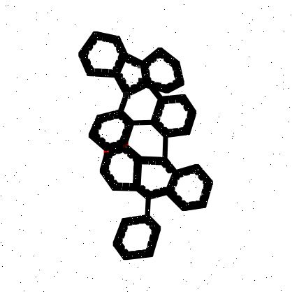 N#Cc1cccc(-c2c3ccccc3c(-c3ccccc3)c3ccccc23)c1-c1ccccc1-n1c2ccccc2c2ccccc21